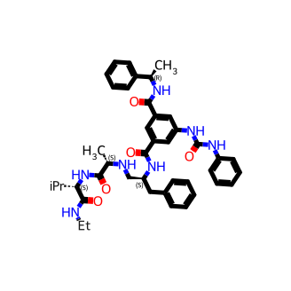 CCNC(=O)[C@@H](NC(=O)[C@H](C)NC[C@H](Cc1ccccc1)NC(=O)c1cc(NC(=O)Nc2ccccc2)cc(C(=O)N[C@H](C)c2ccccc2)c1)C(C)C